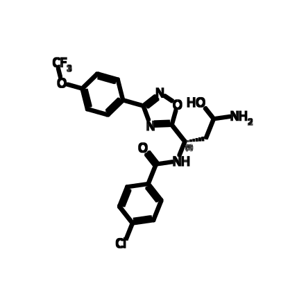 NC(O)C[C@H](NC(=O)c1ccc(Cl)cc1)c1nc(-c2ccc(OC(F)(F)F)cc2)no1